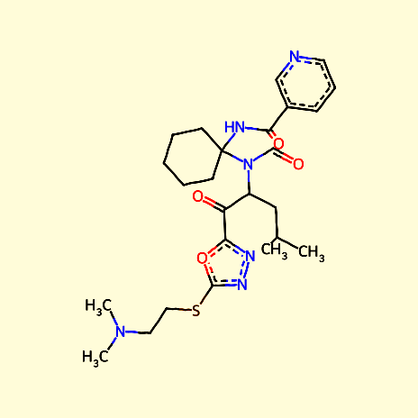 CC(C)CC(C(=O)c1nnc(SCCN(C)C)o1)N(C=O)C1(NC(=O)c2cccnc2)CCCCC1